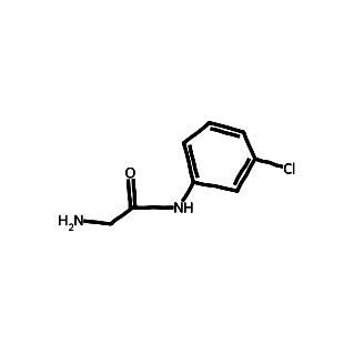 NCC(=O)Nc1cccc(Cl)c1